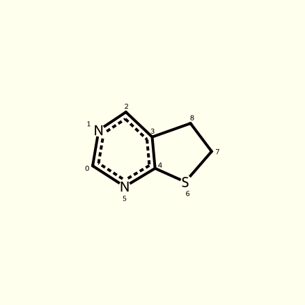 c1ncc2c(n1)SCC2